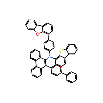 c1ccc(-c2ccc(-c3c(N(c4ccc(-c5cccc6c5oc5ccccc56)cc4)c4cccc5c4sc4ccccc45)c4ccccc4c4ccccc34)cc2)cc1